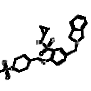 CS(=O)(=O)N1CCC(COc2ccc(CN3Cc4ccccc4C3)cc2S(=O)(=O)NC2CC2)CC1